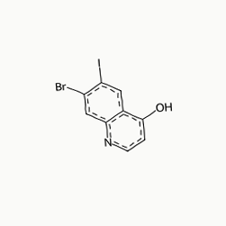 Oc1ccnc2cc(Br)c(I)cc12